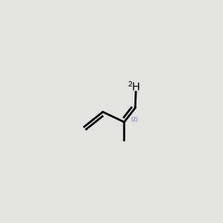 [2H]/C=C(/C)C=C